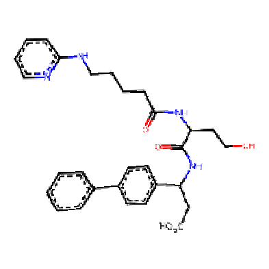 O=C(O)CC(NC(=O)[C@H](CCO)NC(=O)CCCCNc1ccccn1)c1ccc(-c2ccccc2)cc1